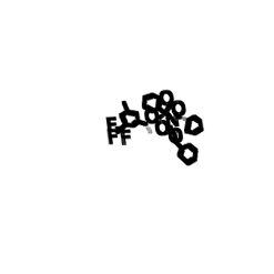 Cc1cc([C@@H](C)OC[C@@]2(c3ccccc3)C(=O)O[C@H](c3ccccc3)N2C(=O)OCc2ccccc2)cc(C(F)(F)F)c1